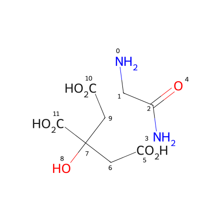 NCC(N)=O.O=C(O)CC(O)(CC(=O)O)C(=O)O